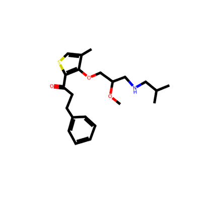 COC(CNCC(C)C)COc1c(C)csc1C(=O)CCc1ccccc1